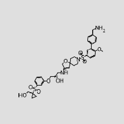 COc1ccc(S(=O)(=O)N2CCC3(CC2)C[C@@H](NC[C@H](O)COc2cccc(S(=O)(=O)C4(CO)CC4)c2)CO3)cc1-c1ccc(CN)cc1